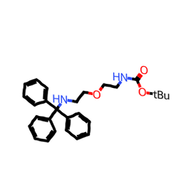 CC(C)(C)OC(=O)NCCOCCNC(c1ccccc1)(c1ccccc1)c1ccccc1